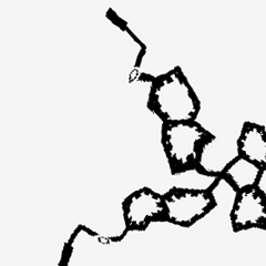 C#CCOc1ccc2cc(C3(c4ccc5cc(OCC#C)ccc5c4)c4ccccc4-c4ccccc43)ccc2c1